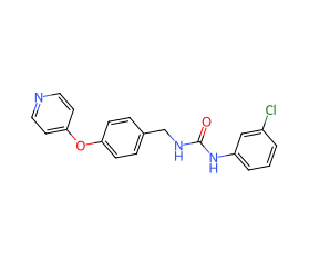 O=C(NCc1ccc(Oc2ccncc2)cc1)Nc1cccc(Cl)c1